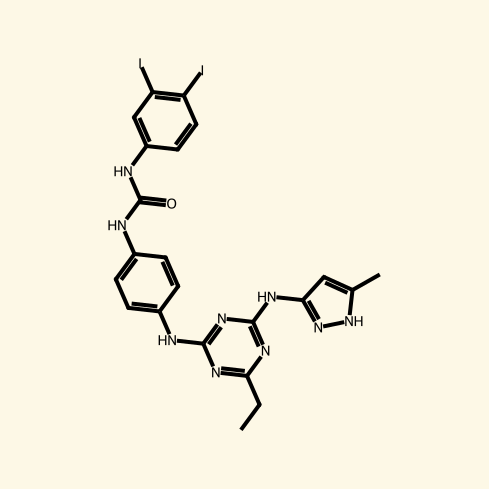 CCc1nc(Nc2ccc(NC(=O)Nc3ccc(I)c(I)c3)cc2)nc(Nc2cc(C)[nH]n2)n1